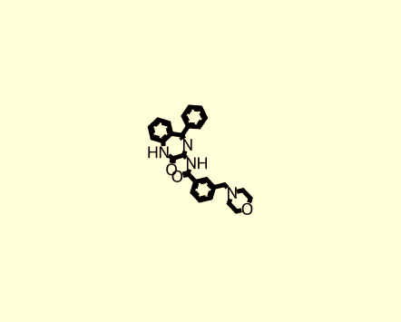 O=C(NC1N=C(c2ccccc2)c2ccccc2NC1=O)c1cccc(CN2CCOCC2)c1